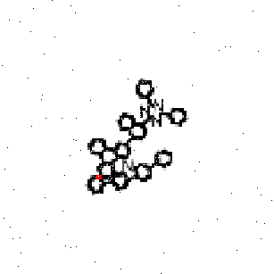 c1ccc(-c2ccc3c4ccc(-c5ccccc5)cc4n(-c4cc(-c5ccc(-c6nc(-c7ccccc7)nc(-c7ccccc7)n6)c6ccccc56)cc5c6ccccc6c6ccccc6c45)c3c2)cc1